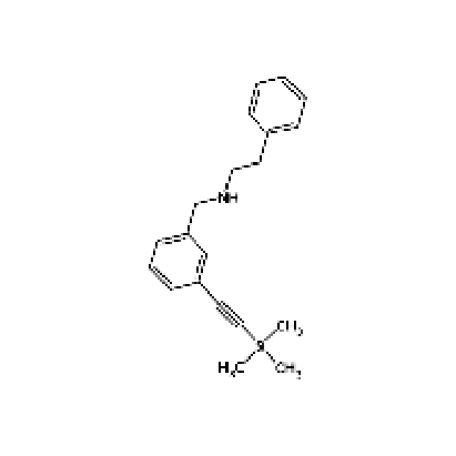 C[Si](C)(C)C#Cc1cccc(CNCCc2ccccc2)c1